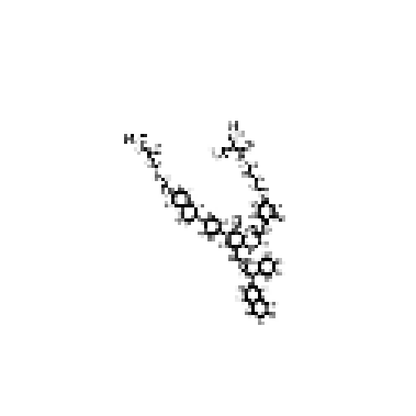 C=CC(=O)OCCCOc1ccc2cc(-c3ccc(-c4cc(/C=N/N=C(\c5ccccc5)c5ccc6ccccc6c5)c(CCC(=O)Oc5ccc(OCCCCOC(=O)C(=C)C)cc5F)cc4Cl)cc3)ccc2c1